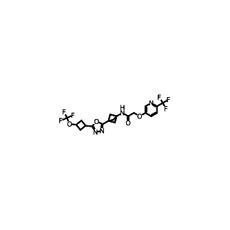 O=C(COc1ccc(C(F)(F)F)nc1)NC12CC(c3nnc(C4CC(OC(F)(F)F)C4)o3)(C1)C2